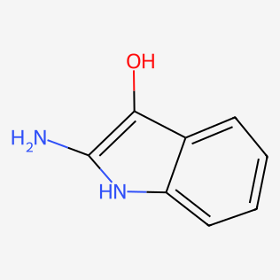 Nc1[nH]c2ccccc2c1O